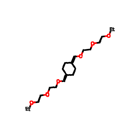 CCOCCOCCOC=C1CCC(=COCCOCCOCC)CC1